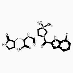 C[Si]1(C)C[C@@H](C(=O)N[C@@H](C[C@@H]2CCNC2=O)C(N)=O)N(C(=O)c2cc3cccc(Cl)c3[nH]2)C1